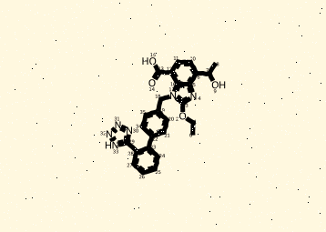 CCOc1nc2c(C(C)O)ccc(C(=O)O)c2n1Cc1ccc(-c2ccccc2-c2nnn[nH]2)cc1